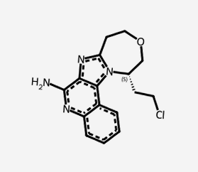 Nc1nc2ccccc2c2c1nc1n2[C@@H](CCCl)COCC1